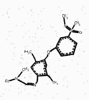 CCN(C)/C=N\c1cc(C)c(Oc2cccc(S(C)(=O)=NC(F)(F)F)c2)cc1C